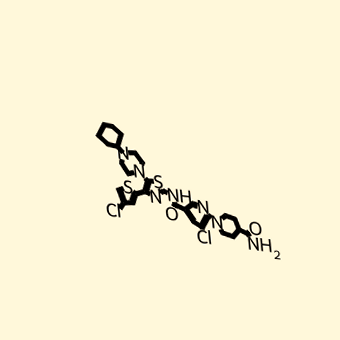 NC(=O)C1CCN(c2ncc(C(=O)Nc3nc(-c4cc(Cl)cs4)c(N4CCN(C5CCCCC5)CC4)s3)cc2Cl)CC1